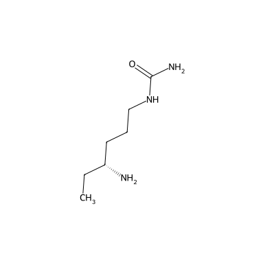 CC[C@@H](N)CCCNC(N)=O